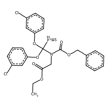 CCOC(=O)CN(C(=O)OCc1ccccc1)C(Oc1cccc(Cl)c1)(Oc1cccc(Cl)c1)[PH2]=S